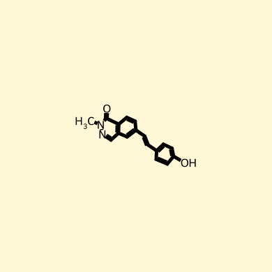 Cn1ncc2cc(C=Cc3ccc(O)cc3)ccc2c1=O